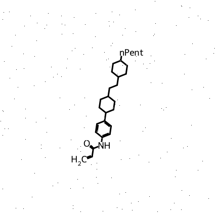 C=CC(=O)Nc1ccc(C2CCC(CCC3CCC(CCCCC)CC3)CC2)cc1